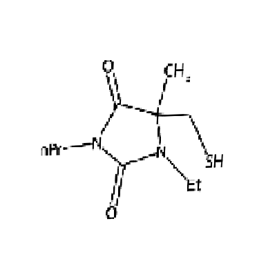 CCCN1C(=O)N(CC)C(C)(CS)C1=O